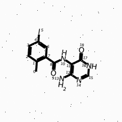 Cc1ccc(I)cc1C(=O)Nc1c(N)nc[nH]c1=O